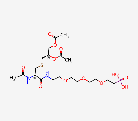 CC(=O)N[C@@H](CSC[C@@H](COC(C)=O)OC(C)=O)C(=O)NCCOCCOCCOCCP(=O)(O)O